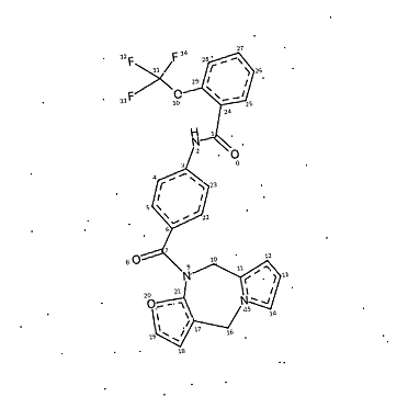 O=C(Nc1ccc(C(=O)N2Cc3cccn3Cc3ccoc32)cc1)c1ccccc1OC(F)(F)F